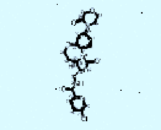 O=C(NC[C@@H]1OC(=O)N2c3ccc(N4CCOCC4=O)cc3OCC[C@@H]12)c1ccc(Cl)cn1